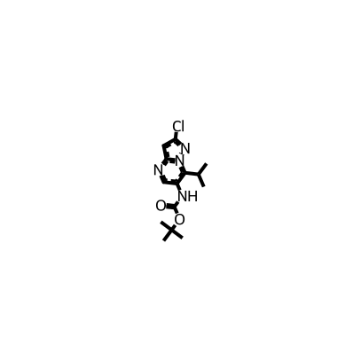 CC(C)c1c(NC(=O)OC(C)(C)C)cnc2cc(Cl)nn12